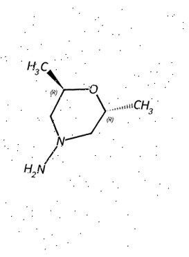 C[C@@H]1CN(N)C[C@@H](C)O1